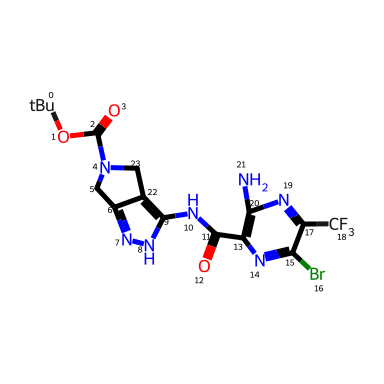 CC(C)(C)OC(=O)N1Cc2n[nH]c(NC(=O)c3nc(Br)c(C(F)(F)F)nc3N)c2C1